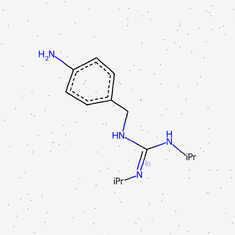 CC(C)/N=C(\NCc1ccc(N)cc1)NC(C)C